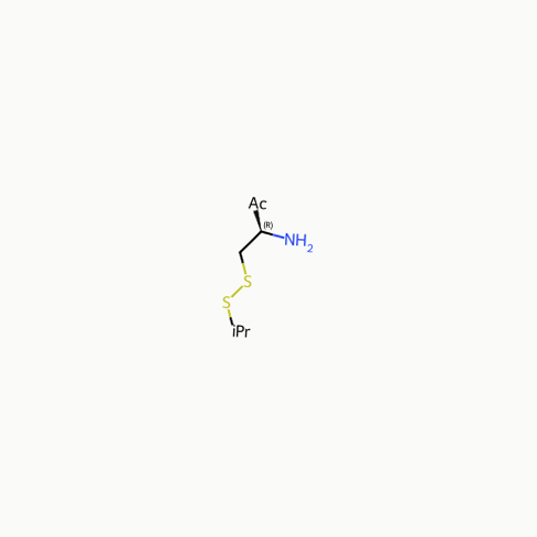 CC(=O)[C@@H](N)CSSC(C)C